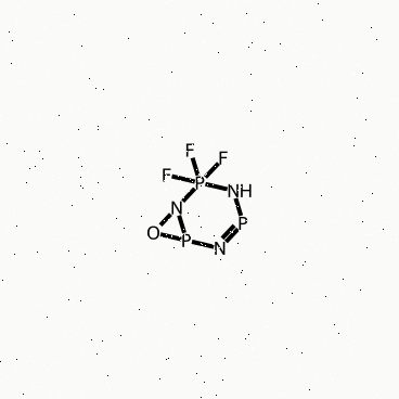 FP1(F)(F)NP=Np2on21